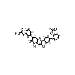 CC(=O)Oc1ccccc1-c1ccc(-c2cc3cc(-c4cccc(CC(=O)O)c4)c(=O)[nH]c3cc2Cl)cc1